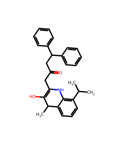 CC(C)c1cccc2c1NC(CC(=O)CC(c1ccccc1)c1ccccc1)=C(O)C2C